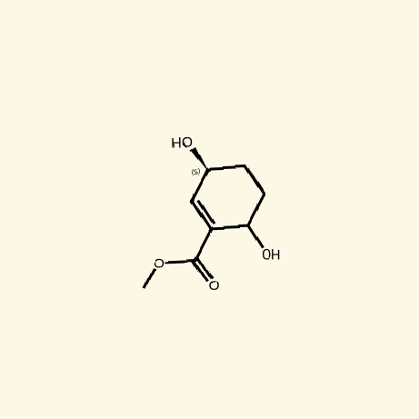 COC(=O)C1=C[C@@H](O)CCC1O